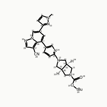 Cn1ccc(-c2cc(-c3ccc(N4C[C@H]5CN(C(=O)OC(C)(C)C)C[C@H]5C4)nc3)c3c(C#N)cnn3c2)n1